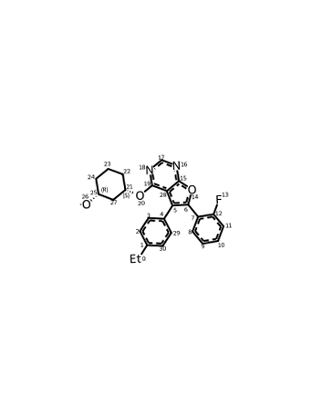 CCc1ccc(-c2c(-c3ccccc3F)oc3ncnc(O[C@H]4CCC[C@@H]([O])C4)c23)cc1